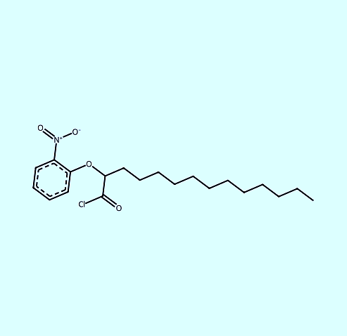 CCCCCCCCCCCCC(Oc1ccccc1[N+](=O)[O-])C(=O)Cl